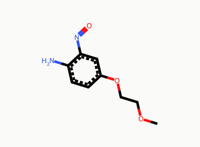 COCCOc1ccc(N)c(N=O)c1